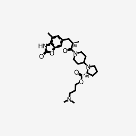 Cc1cc(C[C@@H](C)C(=O)N2CCC(N3CCC[C@@H]3C(=O)OCCCN(C)C)CC2)cc2oc(=O)[nH]c12